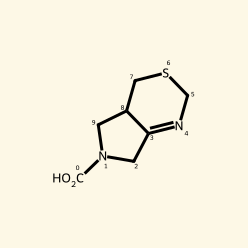 O=C(O)N1CC2=NCSCC2C1